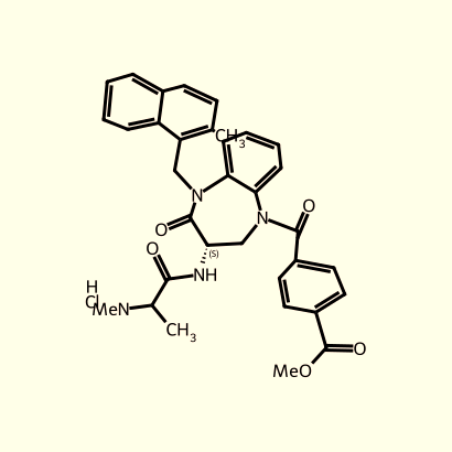 CNC(C)C(=O)N[C@H]1CN(C(=O)c2ccc(C(=O)OC)cc2)c2ccccc2N(Cc2c(C)ccc3ccccc23)C1=O.Cl